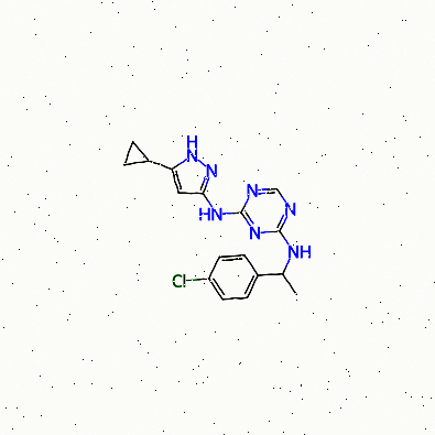 CC(Nc1ncnc(Nc2cc(C3CC3)[nH]n2)n1)c1ccc(Cl)cc1